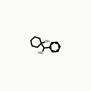 OC(c1ccccc1)C1(O)CCCCC1